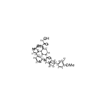 COc1ccc(C23CCC(CN(c4cc(-c5cnc(C(C)C)s5)ccn4)C(=O)[C@H]4CC[C@H](NC(=O)CO)CC4)(CC2)CC3)cc1C